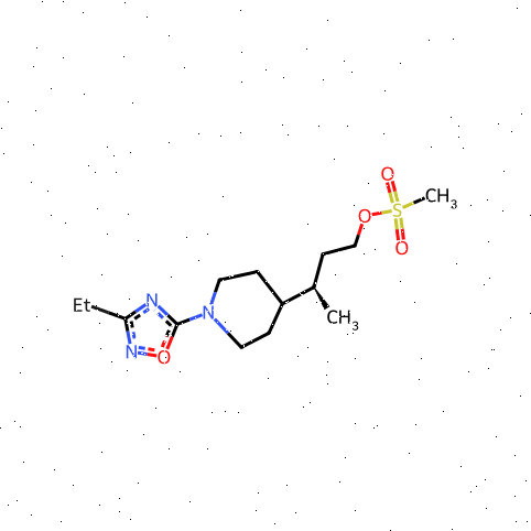 CCc1noc(N2CCC([C@H](C)CCOS(C)(=O)=O)CC2)n1